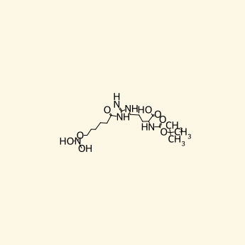 CC(C)(C)OC(=O)NC(CCCNC(=N)NC(=O)CCCCCON(O)O)C(=O)O